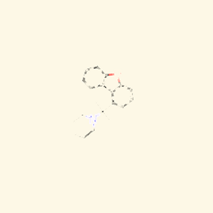 C/C=C\N(CC)C(C)(C)c1cccc2oc3ccccc3c12